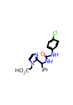 CC(C)C(NC(=O)Nc1ccc(Cl)cc1)c1nccn1CC(=O)O